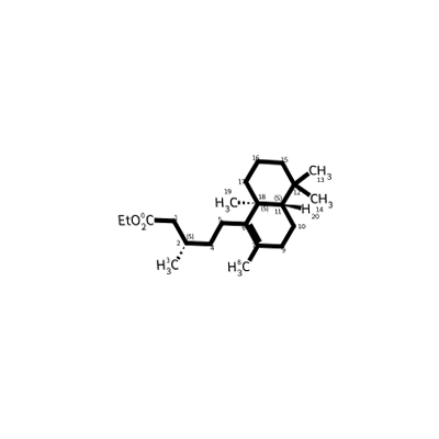 CCOC(=O)C[C@@H](C)CCC1=C(C)CC[C@H]2C(C)(C)CCC[C@]12C